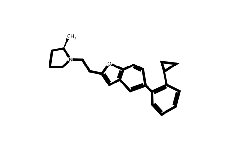 C[C@@H]1CCCN1CCc1cc2cc(-c3ccc[c]c3C3CC3)ccc2o1